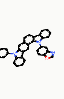 c1ccc(-n2c3ccccc3c3cc4c(ccc5c6ccccc6n(-c6ccc7ocnc7c6)c45)cc32)cc1